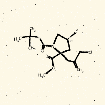 C=C(CCl)CC1(C(=O)OC)C[C@H](F)CN1C(=O)OC(C)(C)C